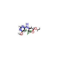 CCOC(=O)/C=C(/Nc1cc(OC)ncn1)C(F)(F)F